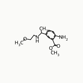 COCCNC(C)c1ccc(N)c(C(=O)OC)c1